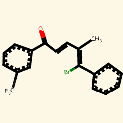 CC(C=CC(=O)c1cccc(C(F)(F)F)c1)=C(Br)c1ccccc1